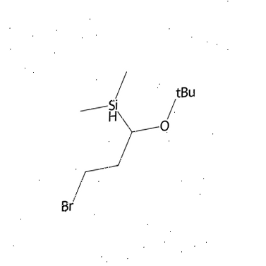 C[SiH](C)C(CCBr)OC(C)(C)C